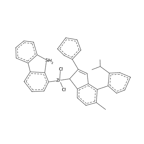 Cc1ccc2c(c1-c1ccccc1C(C)C)C=C(c1ccccc1)[CH]2[Zr]([Cl])([Cl])[c]1cccc2c1[SiH2]c1ccccc1-2